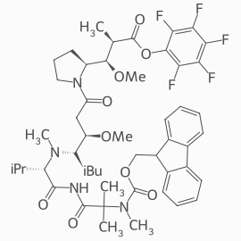 CC[C@H](C)[C@@H]([C@@H](CC(=O)N1CCC[C@H]1[C@H](OC)[C@@H](C)C(=O)Oc1c(F)c(F)c(F)c(F)c1F)OC)N(C)[C@H](C(=O)NC(=O)C(C)(C)N(C)C(=O)OCC1c2ccccc2-c2ccccc21)C(C)C